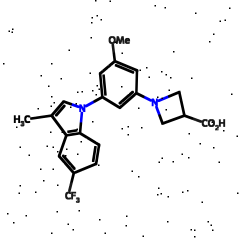 COc1cc(N2CC(C(=O)O)C2)cc(-n2cc(C)c3cc(C(F)(F)F)ccc32)c1